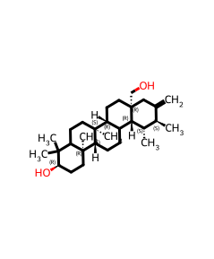 C=C1C[C@]2(CO)CC[C@@H]3C(CC[C@H]4[C@@]3(C)CCC3C(C)(C)[C@H](O)CC[C@@]34C)[C@H]2[C@@H](C)[C@@H]1C